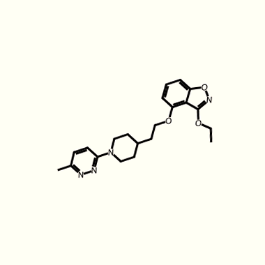 CCOc1noc2cccc(OCCC3CCN(c4ccc(C)nn4)CC3)c12